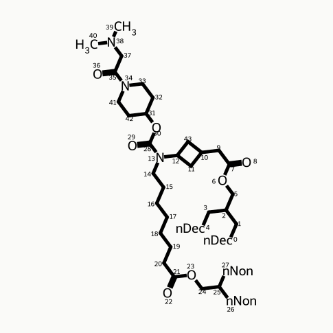 CCCCCCCCCCCC(CCCCCCCCCCC)COC(=O)CC1CC(N(CCCCCCCC(=O)OCC(CCCCCCCCC)CCCCCCCCC)C(=O)OC2CCN(C(=O)CN(C)C)CC2)C1